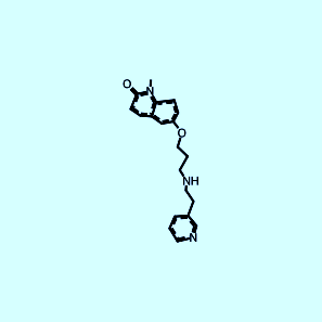 Cn1c(=O)ccc2cc(OCCCNCCc3cccnc3)ccc21